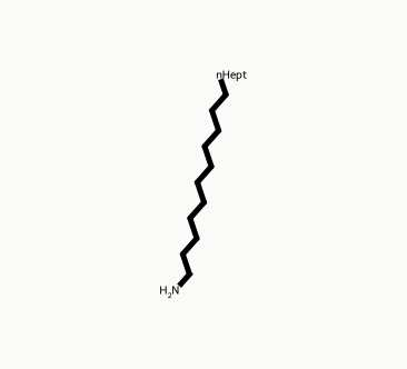 [CH2]CCCCCCCCCCCCCCCC[CH]N